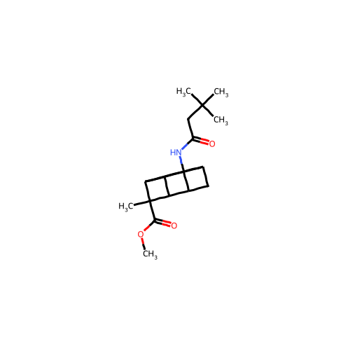 COC(=O)C1(C)C2C3CC4C1C2C34NC(=O)CC(C)(C)C